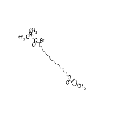 Cc1ccc(C(=O)OCCCCCCCCCCCCCCCC(Br)C(=O)OCCN(C)C)cc1